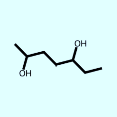 CCC(O)[CH]CC(C)O